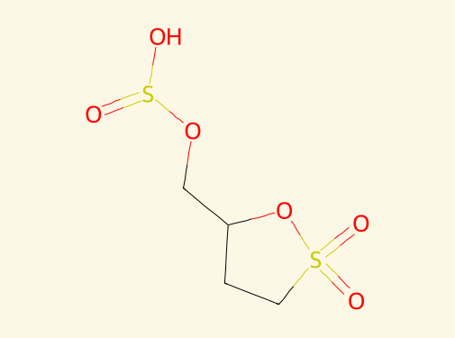 O=S(O)OCC1CCS(=O)(=O)O1